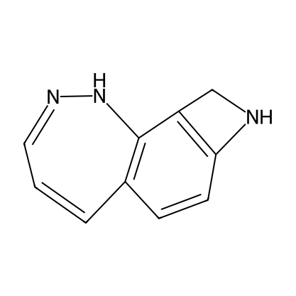 C1=Cc2ccc3c(c2NN=C1)CN3